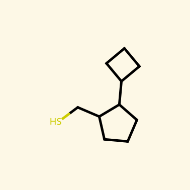 SCC1CCCC1C1CCC1